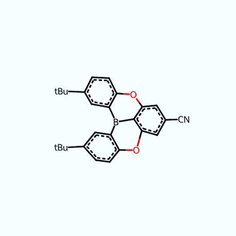 CC(C)(C)c1ccc2c(c1)B1c3cc(C(C)(C)C)ccc3Oc3cc(C#N)cc(c31)O2